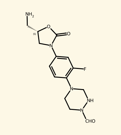 NC[C@H]1CN(c2ccc(N3CCN(C=O)NC3)c(F)c2)C(=O)O1